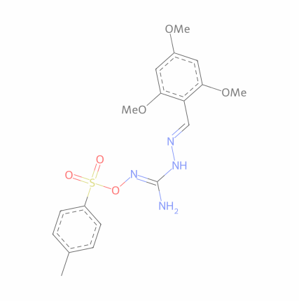 COc1cc(OC)c(C=NNC(N)=NOS(=O)(=O)c2ccc(C)cc2)c(OC)c1